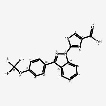 O=C(O)c1csc(-n2nc(-c3ccc(OC(F)(F)F)cc3)c3ccccc32)n1